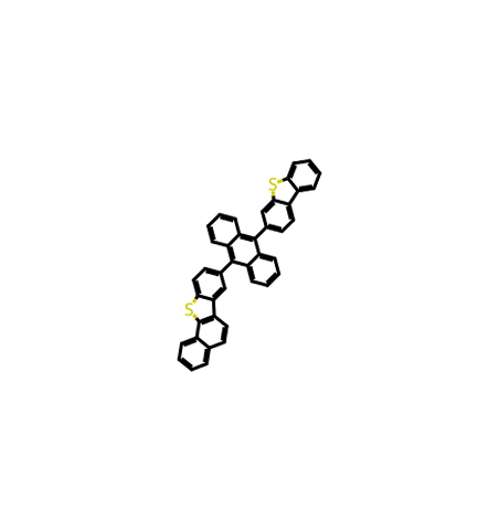 c1ccc2c(c1)ccc1c3cc(-c4c5ccccc5c(-c5ccc6c(c5)sc5ccccc56)c5ccccc45)ccc3sc21